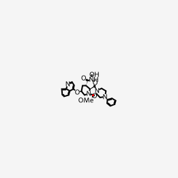 COC(=O)N1C[C@@H](Oc2ccnc3ccccc23)C[C@H](C(=O)NO)[C@H]1C(=O)N1CCN(c2ccccc2)CC1